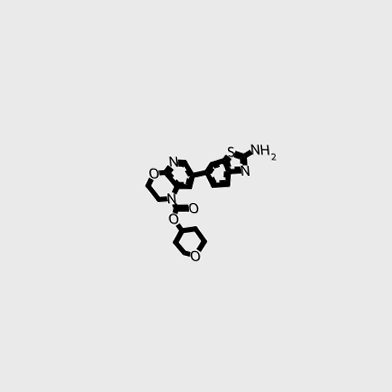 Nc1nc2ccc(-c3cnc4c(c3)N(C(=O)OC3CCOCC3)CCO4)cc2s1